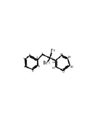 FC(Br)(Cc1ccccc1)c1ccccc1